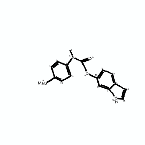 COc1ccc(N(C)C(=O)Oc2ccc3cc[nH]c3c2)cc1